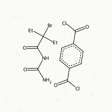 CCC(Br)(CC)C(=O)NC(N)=O.O=C(Cl)c1ccc(C(=O)Cl)cc1